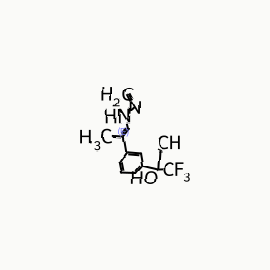 C#CC(O)(c1cccc(/C(C)=C/NN=C)c1)C(F)(F)F